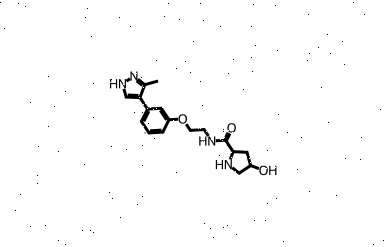 Cc1n[nH]cc1-c1c[c]cc(OCCNC(=O)C2CC(O)CN2)c1